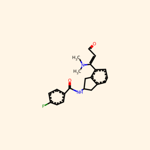 CN(C)C(=CC=O)c1cccc2c1CC(NC(=O)c1ccc(F)cc1)C2